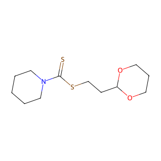 S=C(SCCC1OCCCO1)N1CCCCC1